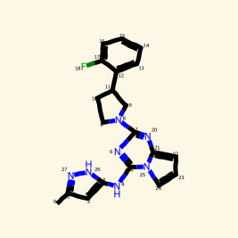 Cc1cc(Nc2nc(N3CCC(c4ccccc4F)C3)nc3cccn23)[nH]n1